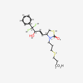 O=C(O)CCSCCCN1C(=O)SCC1/C=C/C(O)C(F)(F)c1ccccc1